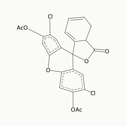 CC(=O)Oc1cc2c(cc1Cl)C1(OC(=O)C3CC=CC=C31)c1cc(Cl)c(OC(C)=O)cc1O2